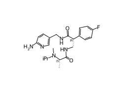 CC(C)N(C)[C@@H](C)C(=O)NC[C@H](C(=O)NCc1ccc(N)nc1)c1ccc(F)cc1